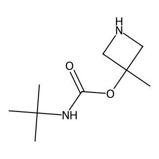 CC(C)(C)NC(=O)OC1(C)CNC1